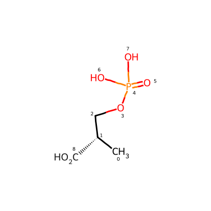 C[C@@H](COP(=O)(O)O)C(=O)O